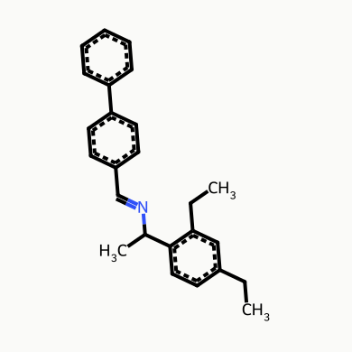 CCc1ccc(C(C)N=Cc2ccc(-c3ccccc3)cc2)c(CC)c1